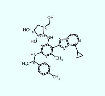 Cc1ccc([C@@H](C)Nc2nc(C)c(-c3nc4c(C5CC5)nccc4s3)c(N[C@@H]3[C@H](CO)C[C@@H](O)[C@H]3O)n2)cc1